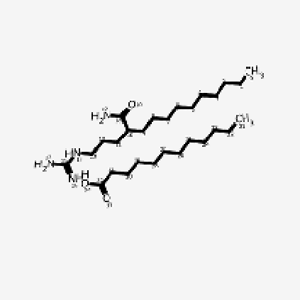 CCCCCCCCCCC(CCCNC(=N)N)C(N)=O.CCCCCCCCCCCC(=O)O